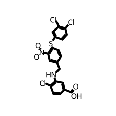 O=C(O)c1ccc(Cl)c(NCc2ccc(Sc3ccc(Cl)c(Cl)c3)c([N+](=O)[O-])c2)c1